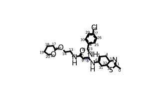 CC1=NC2CC=C(N/C(=C/C(=O)NCCOC3CCCCO3)NCc3ccc(Cl)cc3)CC2S1